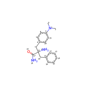 CN(C)c1ccc(CC(N)(Cc2ccccc2)C(N)=O)cc1